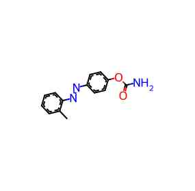 Cc1ccccc1N=Nc1ccc(OC(N)=O)cc1